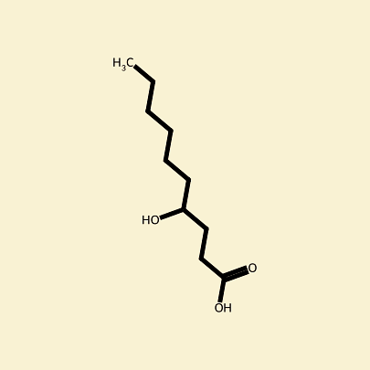 CCCCCCC(O)CCC(=O)O